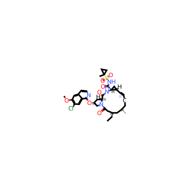 CC[C@H]1CC(=O)N2C[C@H](Oc3nccc4cc(OC)c(Cl)cc34)C[C@H]2C(=O)N[C@]2(C(=O)NS(=O)(=O)C3(C)CC3)C[C@H]2/C=C\CC[C@H](C)C1